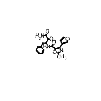 Cc1nc(-c2ccoc2)c(C(=O)NC(Cc2ccccc2)C(=O)C(N)=O)o1